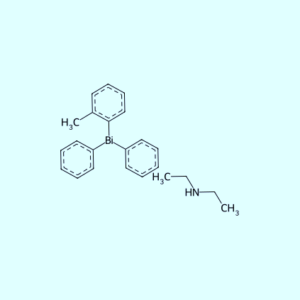 CCNCC.Cc1cccc[c]1[Bi]([c]1ccccc1)[c]1ccccc1